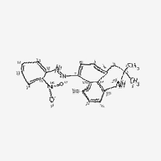 CC1(C)Cc2ccc(N=Nc3ccccc3[N+](=O)[O-])c3cccc(c23)N1